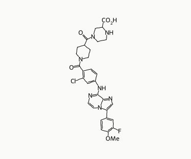 COc1ccc(-c2cnc3c(Nc4ccc(C(=O)N5CCC(C(=O)N6CCNC(C(=O)O)C6)CC5)c(Cl)c4)nccn23)cc1F